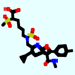 CNC(=O)c1c(-c2ccc(C)cc2)oc2nc(CN(CCCCC(C(=O)O)S(C)(=O)=O)[SH](=O)=O)c(C3CC3)cc12